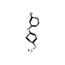 CSc1ccc(OC2=CC[CH]C(Br)=C2)cc1